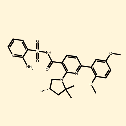 COc1ccc(OC)c(-c2ccc(C(=O)NS(=O)(=O)c3cccnc3N)c(N3C[C@@H](C)CC3(C)C)n2)c1